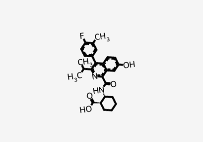 Cc1cc(-c2c(C(C)C)nc(C(=O)N[C@@H]3CCCC[C@H]3C(=O)O)c3cc(O)ccc23)ccc1F